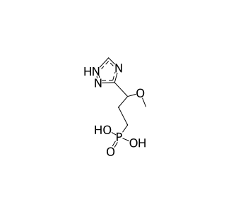 COC(CCP(=O)(O)O)c1nc[nH]n1